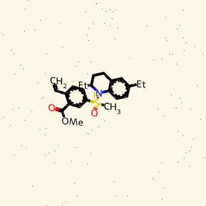 C=Cc1ccc([SH](C)(=O)N2c3ccc(CC)cc3CCC2CC)cc1C(=O)OC